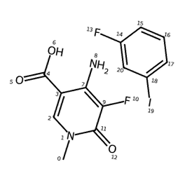 Cn1cc(C(=O)O)c(N)c(F)c1=O.Fc1cccc(I)c1